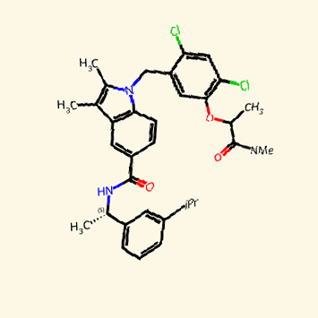 CNC(=O)C(C)Oc1cc(Cn2c(C)c(C)c3cc(C(=O)N[C@@H](C)c4cccc(C(C)C)c4)ccc32)c(Cl)cc1Cl